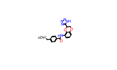 CCCCCCCCCCCc1ccc(C(=O)Nc2cccc3c2OC(c2nnn[nH]2)CO3)cc1